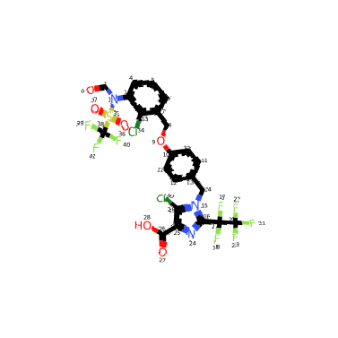 O=CN(c1cccc(COc2ccc(Cn3c(C(F)(F)C(F)(F)F)nc(C(=O)O)c3Cl)cc2)c1Cl)S(=O)(=O)C(F)(F)F